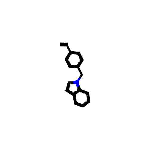 CSc1ccc(Cn2c[c]c3ccccc32)cc1